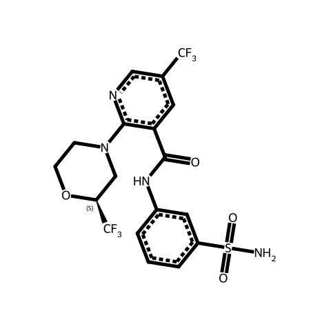 NS(=O)(=O)c1cccc(NC(=O)c2cc(C(F)(F)F)cnc2N2CCO[C@H](C(F)(F)F)C2)c1